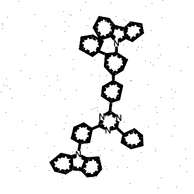 c1ccc(-c2nc(-c3ccc(-c4ccc(-n5c6ccccc6c6ccccc65)c(-c5ccccc5)c4)cc3)nc(-c3cccc(-n4c5ccccc5c5ccccc54)c3)n2)cc1